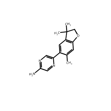 Cc1cc2c(cc1-c1cnc(N)cn1)C(C)(C)CO2